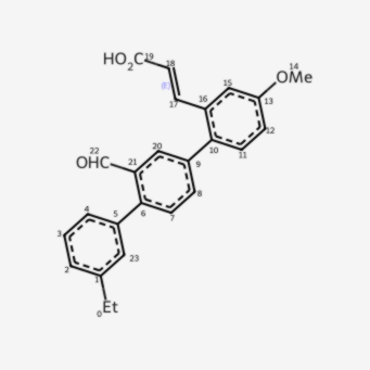 CCc1cccc(-c2ccc(-c3ccc(OC)cc3/C=C/C(=O)O)cc2C=O)c1